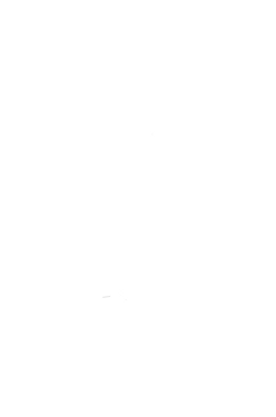 CCCCc1[c]c2c(cc1)sc1ccccc12